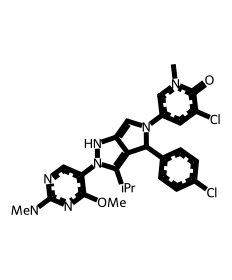 CNc1ncc(N2NC3=CN(c4cc(Cl)c(=O)n(C)c4)C(c4ccc(Cl)cc4)C3=C2C(C)C)c(OC)n1